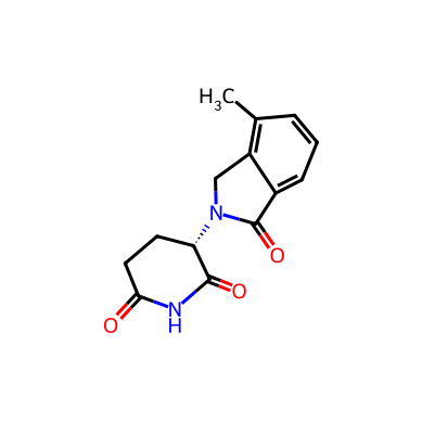 Cc1cccc2c1CN([C@H]1CCC(=O)NC1=O)C2=O